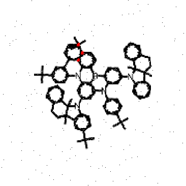 CC(C)(C)c1ccc(N2c3cc(N4c5ccccc5C5(C)CCc6ccccc6C45C)ccc3B3c4ccc(C(C)(C)C)cc4N(c4ccc(C(C)(C)C)cc4-c4ccccc4)c4cc(N5c6ccc(C(C)(C)C)cc6C6(C)CCc7ccccc7C56C)cc2c43)cc1